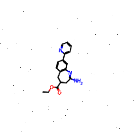 CCOC(=O)C1CC(N)=Nc2cc(-c3ccccn3)ccc2C1